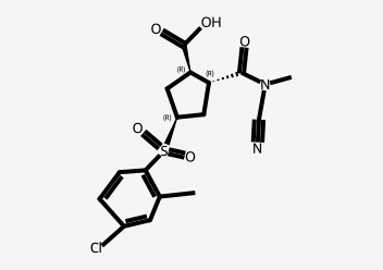 Cc1cc(Cl)ccc1S(=O)(=O)[C@H]1C[C@@H](C(=O)O)[C@H](C(=O)N(C)C#N)C1